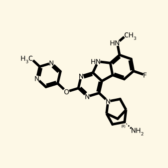 CNc1cc(F)cc2c1[nH]c1nc(Oc3cnc(C)nc3)nc(N3CC4CC3C[C@H]4N)c12